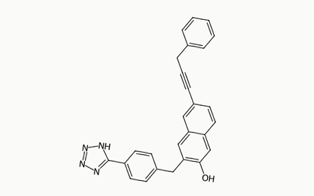 Oc1cc2ccc(C#CCc3ccccc3)cc2cc1Cc1ccc(-c2nnn[nH]2)cc1